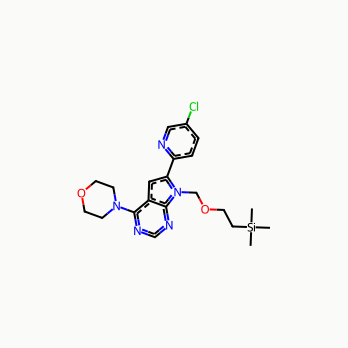 C[Si](C)(C)CCOCn1c(-c2ccc(Cl)cn2)cc2c(N3CCOCC3)ncnc21